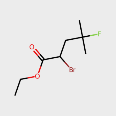 CCOC(=O)C(Br)CC(C)(C)F